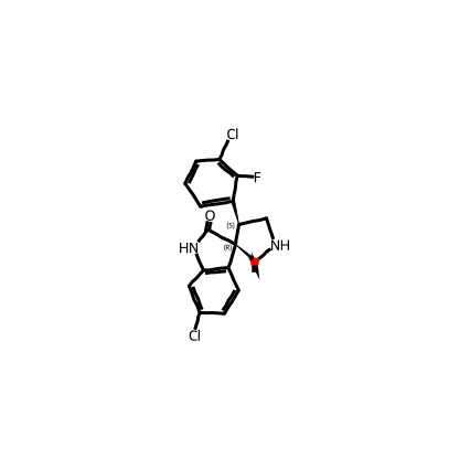 O=C1Nc2cc(Cl)ccc2[C@@]12[C@@H](c1cccc(Cl)c1F)CNC21CCCCC1